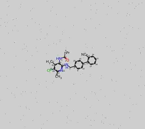 CCCC(=O)Nc1c(NCc2ccc(-c3ccccc3C#N)cc2)nc(C)c(Cl)c1C